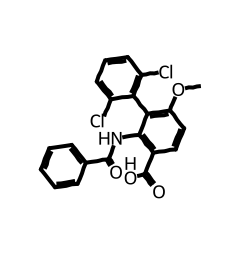 COc1ccc(C(=O)O)c(NC(=O)c2ccccc2)c1-c1c(Cl)cccc1Cl